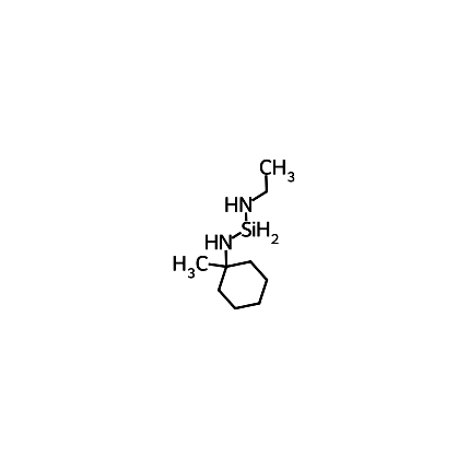 CCN[SiH2]NC1(C)CCCCC1